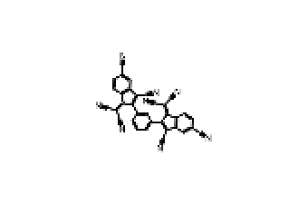 N#CC(C#N)=C1C(c2cccc(C3=C(C#N)c4cc(C#N)ccc4C3=C(C#N)C#N)c2)=C(C#N)c2cc(C#N)ccc21